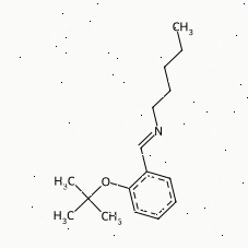 CCCCC/N=C/c1ccccc1OC(C)(C)C